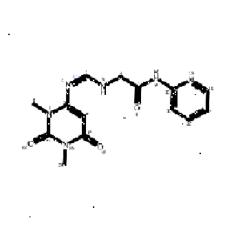 Cn1c(/N=C\NCC(=O)Nc2ccccn2)cc(=O)n(C)c1=O